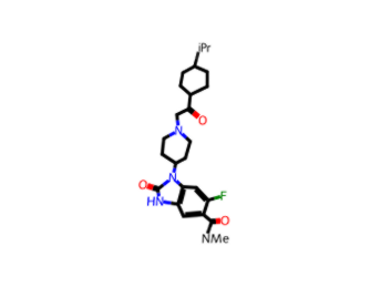 CNC(=O)c1cc2[nH]c(=O)n(C3CCN(CC(=O)C4CCC(C(C)C)CC4)CC3)c2cc1F